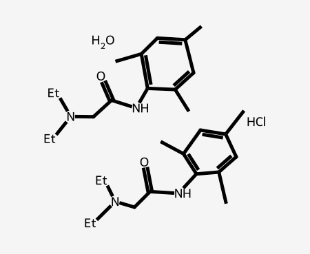 CCN(CC)CC(=O)Nc1c(C)cc(C)cc1C.CCN(CC)CC(=O)Nc1c(C)cc(C)cc1C.Cl.O